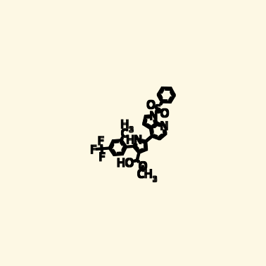 COC(O)c1cc(-c2ccnc3c2ccn3S(=O)(=O)c2ccccc2)[nH]c1-c1ccc(C(F)(F)F)cc1C